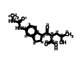 CNC(=O)Nc1ccc2c(c1)CCC2C(=O)N(CC(C)O)C(=O)O